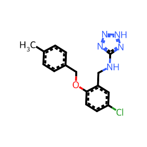 Cc1ccc(COc2ccc(Cl)cc2CNc2nn[nH]n2)cc1